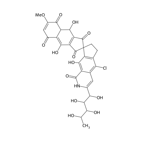 COC1=CC(=O)C2=C(O)C3=C(C(=O)C4(CCc5c4c(O)c4c(=O)[nH]c(C(O)C(O)C(O)C(C)O)cc4c5Cl)C3=O)C(O)C2C1=O